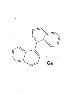 [Ga].c1ccc2c(-c3cccc4ccccc34)cccc2c1